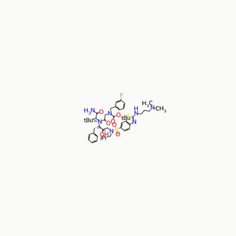 CC(C)CN(C[C@@H](O)[C@H](Cc1ccccc1)N(C(=O)CN(Cc1cccc(F)c1)C(=O)OC(C)(C)C)[C@H](C(N)=O)C(C)(C)C)S(=O)(=O)c1ccc2nc(NCCCN(C)C)sc2c1